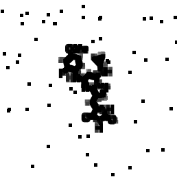 COc1ccc(Nc2cc(NC3CC3)n3ncc(/C=C4\NC(=O)NC4=O)c3n2)c(F)c1